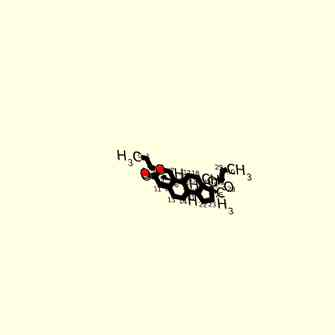 CCC(=O)OC[C@]12CCC(=O)C=C1CC[C@@H]1[C@@H]2CC[C@@]2(C)[C@H]1CC[C@@]2(C)OC(=O)CC